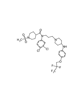 CS(=O)(=O)N1CCC(C(=O)N(CCCN2CCC(Nc3ccc(OCC(F)(F)C(F)(F)F)cc3)CC2)c2ccc(Cl)c(Cl)c2)CC1